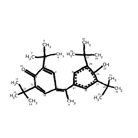 CC(=C1C=C(C(C)(C)C)C(=O)C(C(C)(C)C)=C1)c1cc(C(C)(C)C)c(O)c(C(C)(C)C)c1